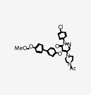 COCOc1ccc(-c2ccc(Oc3c(N4CCN(C(C)=O)CC4)cnn(-c4ccc(Cl)cc4)c3=O)cc2)cc1